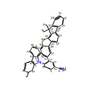 CC1C=Cc2c(n(-c3ccc(C#N)cc3-c3ccc4sc5c6c(ccc5c4c3)-c3ccc#cc3C6(C)C)c3ccccc23)C1